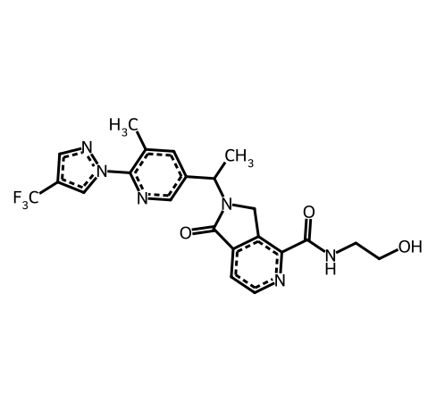 Cc1cc(C(C)N2Cc3c(ccnc3C(=O)NCCO)C2=O)cnc1-n1cc(C(F)(F)F)cn1